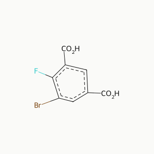 O=C(O)c1cc(Br)c(F)c(C(=O)O)c1